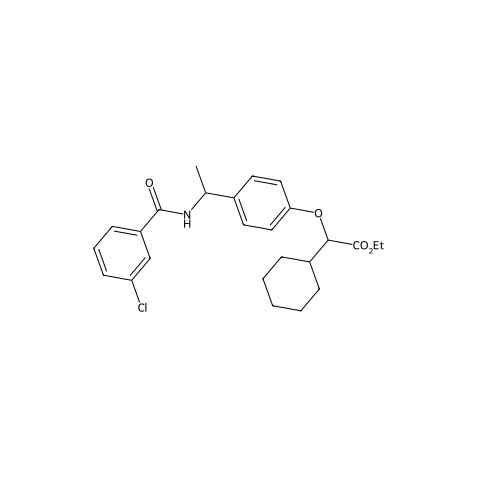 CCOC(=O)C(Oc1ccc(C(C)NC(=O)c2cccc(Cl)c2)cc1)C1CCCCC1